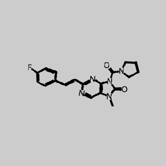 Cn1c(=O)n(C(=O)N2CCCC2)c2nc(/C=C/c3ccc(F)cc3)ncc21